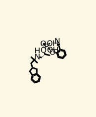 CC(C)(CC1Cc2ccccc2C1)NC[C@@H](COc1ccccc1C#N)OP(=O)(O)O